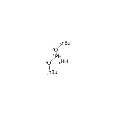 CCCCOPOCCCC.[HH]